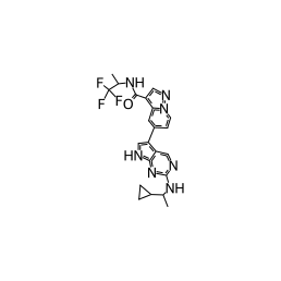 CC(Nc1ncc2c(-c3ccn4ncc(C(=O)NC(C)C(F)(F)F)c4c3)c[nH]c2n1)C1CC1